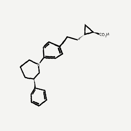 O=C(O)[C@@H]1C[C@H]1CCc1ccc(N2CCC[C@H](c3ccccc3)C2)cc1